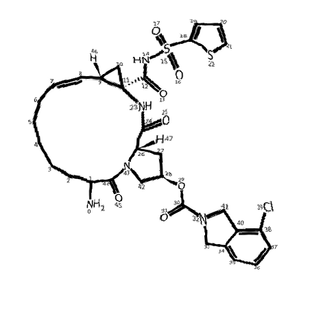 NC1CCCCC/C=C\[C@@H]2C[C@@]2(C(=O)NS(=O)(=O)c2cccs2)NC(=O)[C@@H]2C[C@@H](OC(=O)N3Cc4cccc(Cl)c4C3)CN2C1=O